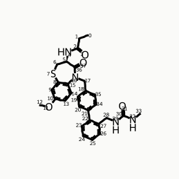 CCC(=O)N[C@@H]1CSc2cc(OC)ccc2N(Cc2ccc(-c3ccccc3CNC(=O)NC)cc2)C1=O